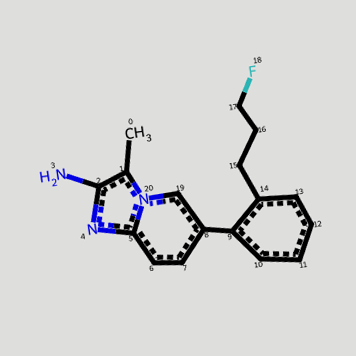 Cc1c(N)nc2ccc(-c3ccccc3CCCF)cn12